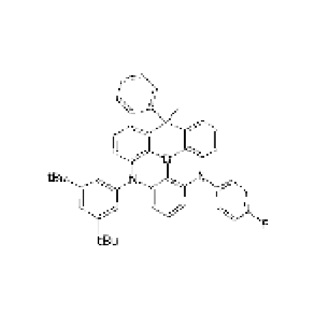 CC(C)(C)c1cc(N2c3cccc4c3B3c5c(cccc5C(C)(c5ccccc5)c5cccc2c53)N4c2ccc(F)cc2)cc(C(C)(C)C)c1